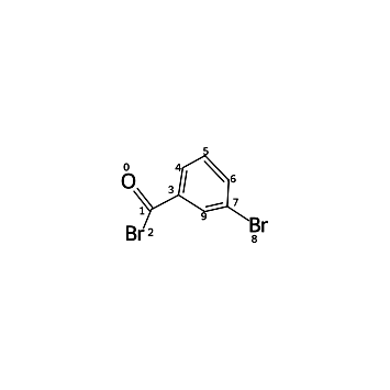 O=C(Br)c1cccc(Br)c1